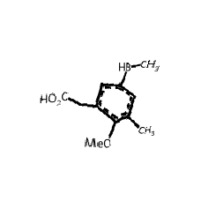 CBc1cc(C)c(OC)c(CC(=O)O)c1